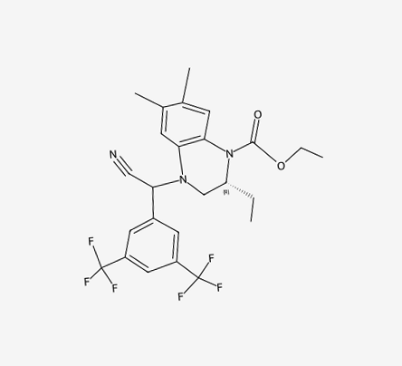 CCOC(=O)N1c2cc(C)c(C)cc2N(C(C#N)c2cc(C(F)(F)F)cc(C(F)(F)F)c2)C[C@H]1CC